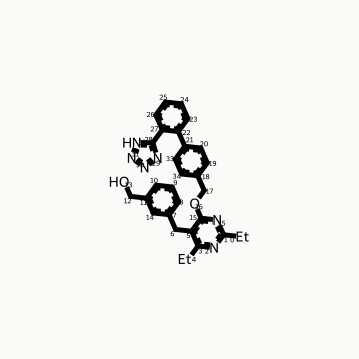 CCc1nc(CC)c(Cc2cccc(CO)c2)c(OCc2ccc(-c3ccccc3-c3nnn[nH]3)cc2)n1